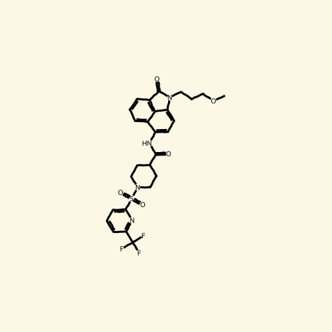 COCCCN1C(=O)c2cccc3c(NC(=O)C4CCN(S(=O)(=O)c5cccc(C(F)(F)F)n5)CC4)ccc1c23